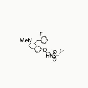 CNC1CCc2ccc(OCCNS(=O)(=O)CC3CC3)cc2C1Cc1ccccc1F